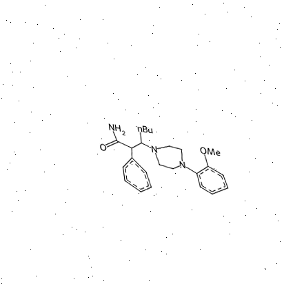 CCCCC(C(C(N)=O)c1ccccc1)N1CCN(c2ccccc2OC)CC1